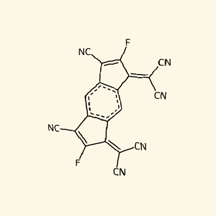 N#CC(C#N)=C1C(F)=C(C#N)c2cc3c(cc21)C(=C(C#N)C#N)C(F)=C3C#N